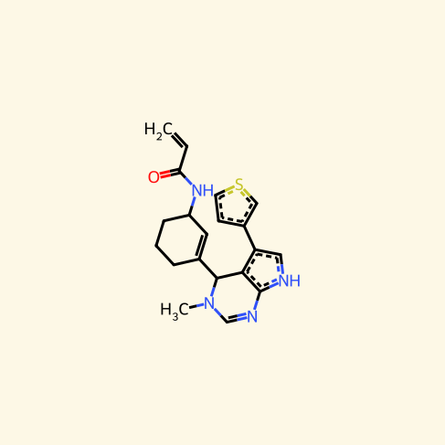 C=CC(=O)NC1C=C(C2c3c(-c4ccsc4)c[nH]c3N=CN2C)CCC1